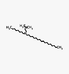 CCCCCCCCC=CCCCCCCCCN(CCCCCCCC)CCN(C)C